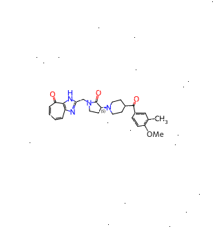 COc1ccc(C(=O)C2CCN([C@H]3CCN(Cc4nc5ccccc(=O)c5[nH]4)C3=O)CC2)cc1C